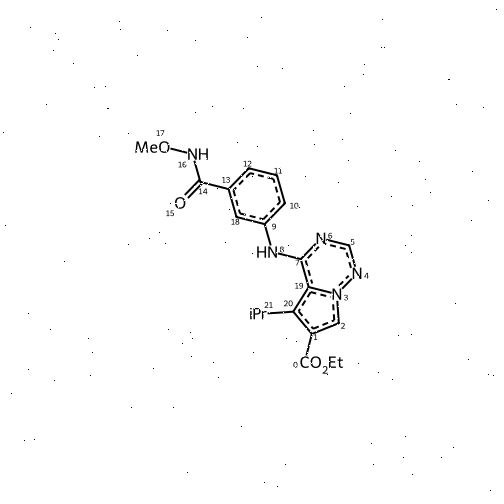 CCOC(=O)c1cn2ncnc(Nc3cccc(C(=O)NOC)c3)c2c1C(C)C